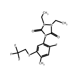 CCn1c(=O)n(-c2cc(SCC(F)(F)F)c(C)cc2F)c(=O)n1CC